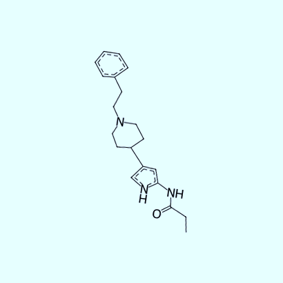 CCC(=O)Nc1cc(C2CCN(CCc3ccccc3)CC2)c[nH]1